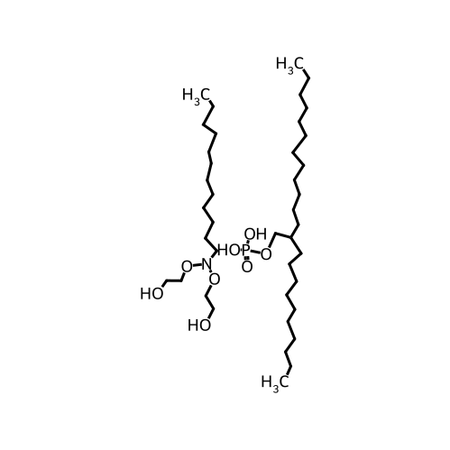 CCCCCCCCCCCCC(CCCCCCCCCC)COP(=O)(O)O.CCCCCCCCCCCCN(OCCO)OCCO